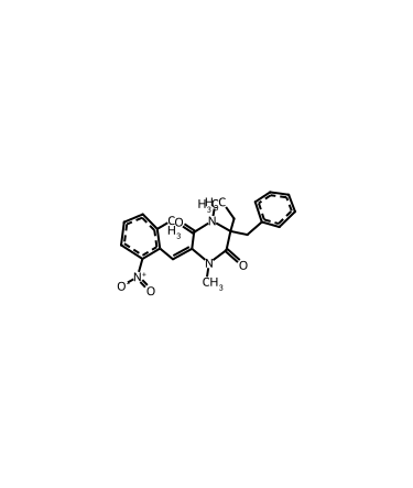 CCC1(Cc2ccccc2)C(=O)N(C)/C(=C/c2c(C)cccc2[N+](=O)[O-])C(=O)N1C